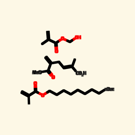 C=C(C)C(=O)OCCCCCCCCCCCCCCCCCC.C=C(C)C(=O)OCO.C=C(CC=C(C)C(=O)O)C(=O)OC